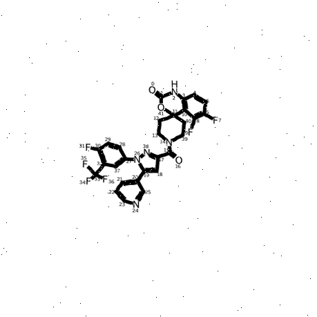 O=C1Nc2ccc(F)c(F)c2C2(CCN(C(=O)c3cc(-c4cccnc4)n(-c4ccc(F)c(C(F)(F)F)c4)n3)CC2)O1